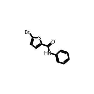 O=C(Nc1ccccc1)c1ccc(Br)s1